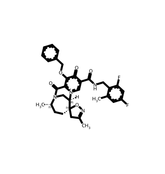 CC1=NO[C@@]2(CC[C@H](C)N3C[C@H]2n2cc(C(=O)NCc4c(C)cc(F)cc4F)c(=O)c(OCc4ccccc4)c2C3=O)C1